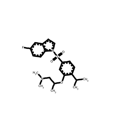 CC(CN(C)C)Oc1cc(S(=O)(=O)n2ccc3cc(F)ccc32)ccc1C(C)C